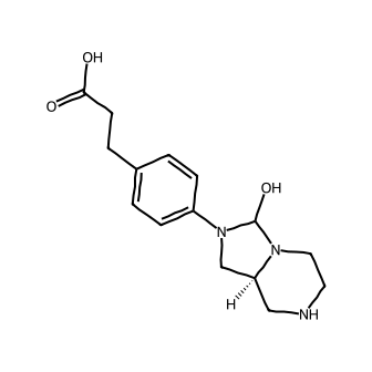 O=C(O)CCc1ccc(N2C[C@@H]3CNCCN3C2O)cc1